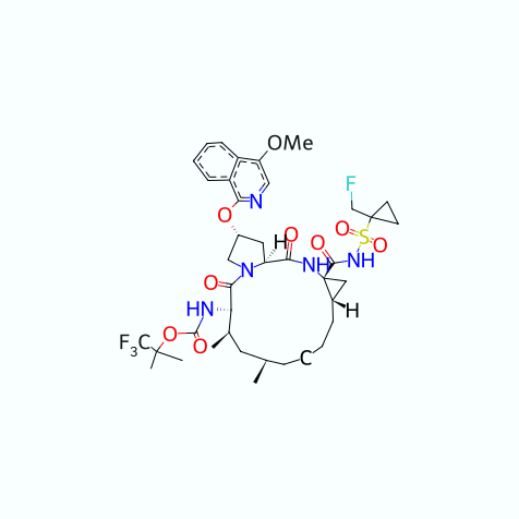 COc1cnc(O[C@@H]2C[C@H]3C(=O)N[C@]4(C(=O)NS(=O)(=O)C5(CF)CC5)C[C@@H]4CCCC[C@@H](C)C[C@@H](C)[C@H](NC(=O)OC(C)(C)C(F)(F)F)C(=O)N3C2)c2ccccc12